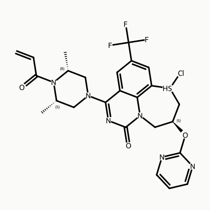 C=CC(=O)N1[C@H](C)CN(c2nc(=O)n3c4c(cc(C(F)(F)F)cc24)[SH](Cl)C[C@@H](Oc2ncccn2)C3)C[C@@H]1C